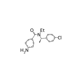 CCN(C(=O)c1ccc(N)cc1)[C@H](C)c1ccc(Cl)cc1